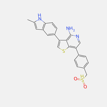 Cc1cc2cc(-c3csc4c(-c5ccc(C[SH](=O)=O)cc5)cnc(N)c34)ccc2[nH]1